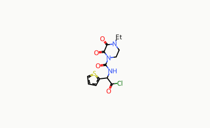 CCN1CCN(C(=O)NC(C(=O)Cl)c2cccs2)C(=O)C1=O